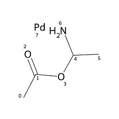 CC(=O)OC(C)N.[Pd]